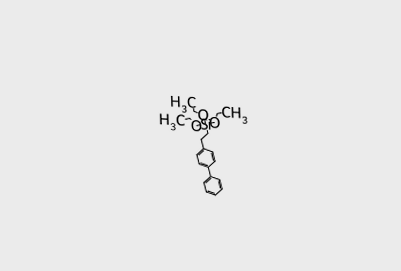 CCO[Si](CCc1ccc(-c2ccccc2)cc1)(OCC)OCC